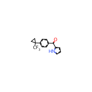 O=C(c1ccc(C2(C(F)(F)F)CC2)cc1)c1ccc[nH]1